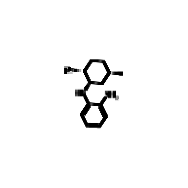 CC(C)[C@@H]1CC[C@@H](C)C[C@H]1Nc1ccccc1N